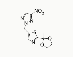 CC1(c2ncc(Cn3ncc([N+](=O)[O-])n3)s2)OCCO1